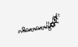 CCc1cnn(C(C)c2ccc(C(=O)NCCOCCOCCOCCOCC(=O)C(C)C)cc2)c1